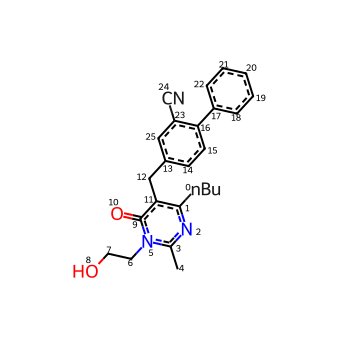 CCCCc1nc(C)n(CCO)c(=O)c1Cc1ccc(-c2ccccc2)c(C#N)c1